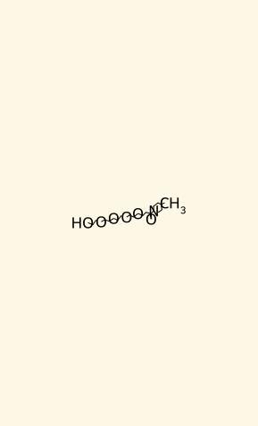 CC1CCN(C(=O)CCOCCOCCOCCOCCO)CC1